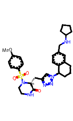 COc1ccc(S(=O)(=O)N2CCNC(=O)[C@H]2Cc2cn(C3CCCc4cc(CNC5CCCC5)ccc43)nn2)cc1